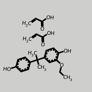 C=CC(=O)O.C=CC(=O)O.CCOc1cc(C(C)(C)c2ccc(O)cc2)ccc1O